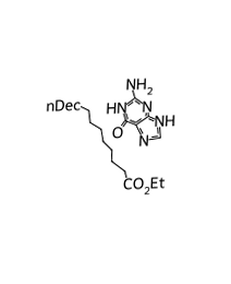 CCCCCCCCCCCCCCCCCC(=O)OCC.Nc1nc2[nH]cnc2c(=O)[nH]1